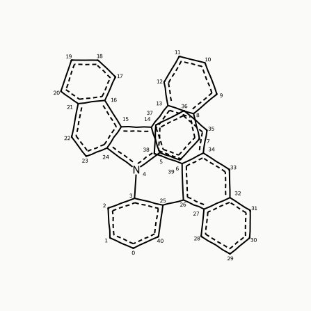 c1ccc(-n2c3ccc4ccccc4c3c3c4ccccc4ccc32)c(-c2c3ccccc3cc3ccccc23)c1